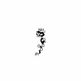 CC(C)CCOC(=O)OC1C2C[C@H](c3ccc4c(N)ncnn34)O[C@@]21C